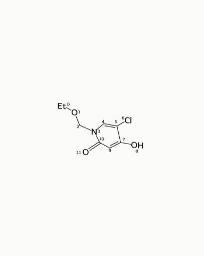 CCOCn1cc(Cl)c(O)cc1=O